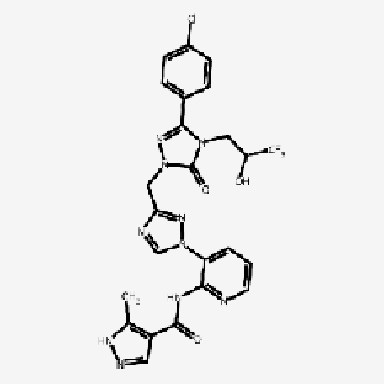 Cc1[nH]ncc1C(=O)Nc1ncccc1-n1cnc(Cn2nc(-c3ccc(Cl)cc3)n(C[C@H](O)C(F)(F)F)c2=O)n1